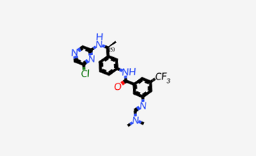 C[C@H](Nc1cncc(Cl)n1)c1cccc(NC(=O)c2cc(N=CN(C)C)cc(C(F)(F)F)c2)c1